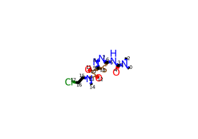 CN(C)C(=O)Nc1nnc(S(=O)(=O)N(C)CCCl)s1